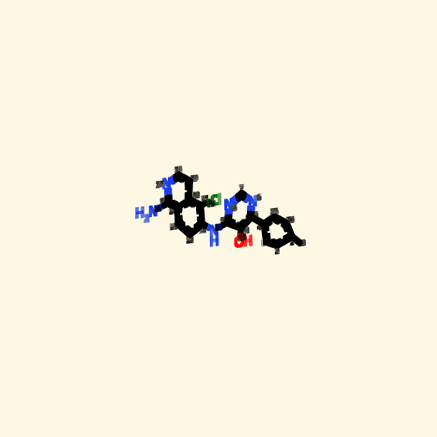 Cc1ccc(-c2ncnc(Nc3ccc4c(N)nccc4c3Cl)c2O)cc1